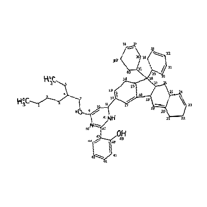 CCCCC(CC)COC1=CC(C2=CCC3C(=C2)C2C=C4CCC=CC4CC2C3(C2C=CC=CC2)C2CC=CCC2)NC(c2ccccc2O)=N1